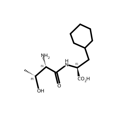 C[C@@H](O)[C@H](N)C(=O)N[C@@H](CC1CCCCC1)C(=O)O